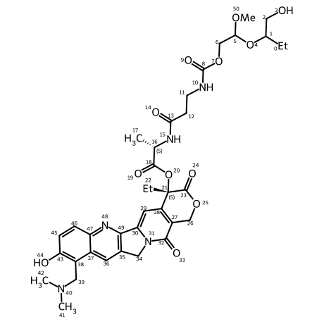 CCC(CO)OC(COC(=O)NCCC(=O)N[C@@H](C)C(=O)O[C@]1(CC)C(=O)OCc2c1cc1n(c2=O)Cc2cc3c(CN(C)C)c(O)ccc3nc2-1)OC